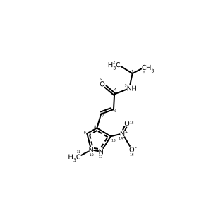 CC(C)NC(=O)/C=C/c1cn(C)nc1[N+](=O)[O-]